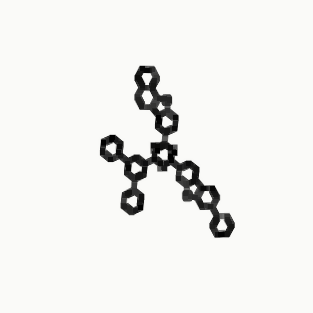 c1ccc(-c2cc(-c3ccccc3)cc(-c3nc(-c4ccc5c(c4)oc4cc(-c6ccccc6)ccc45)nc(-c4ccc5oc6c7ccccc7ccc6c5c4)n3)c2)cc1